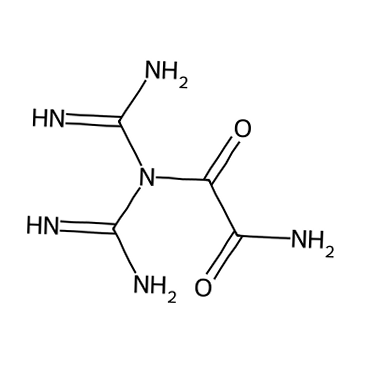 N=C(N)N(C(=N)N)C(=O)C(N)=O